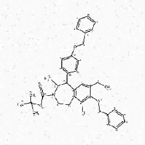 CCc1cc2c(c(Cl)c1OCc1ccccc1)CCN(C(=O)OC(C)(C)C)C(C)C2c1ccc(OCc2ccccc2)cc1